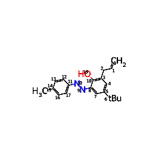 C=CCc1cc(C(C)(C)C)cc(/N=N/c2ccc(C)cc2)c1O